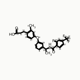 Cc1cc(Oc2cccc(C(C)NC(=O)c3ccc(C(F)(F)F)cc3F)c2)ccc1CCC(=O)O